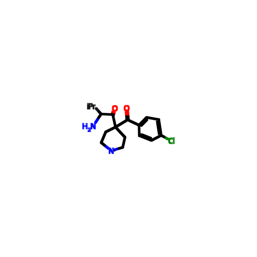 CC(C)C(N)C(=O)C1(C(=O)c2ccc(Cl)cc2)CC[N]CC1